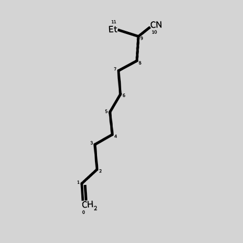 C=CCCCCCCCC(C#N)CC